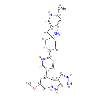 CCOc1cc(-c2ccc(N3CCC(N)(Cc4ccc(OC)nc4)CC3)nc2)c2c3cn[nH]c3nn2c1